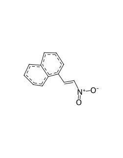 O=[N+]([O-])C=Cc1cccc2ccccc12